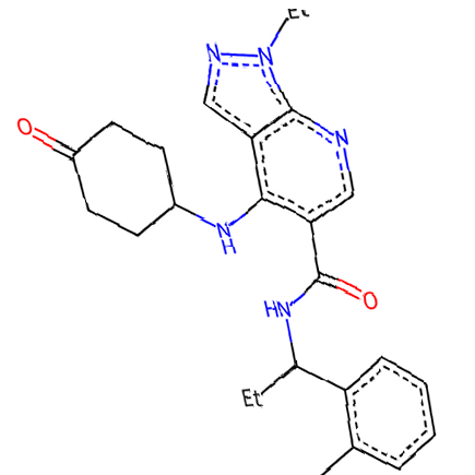 CCC(NC(=O)c1cnc2c(cnn2CC)c1NC1CCC(=O)CC1)c1ccccc1C